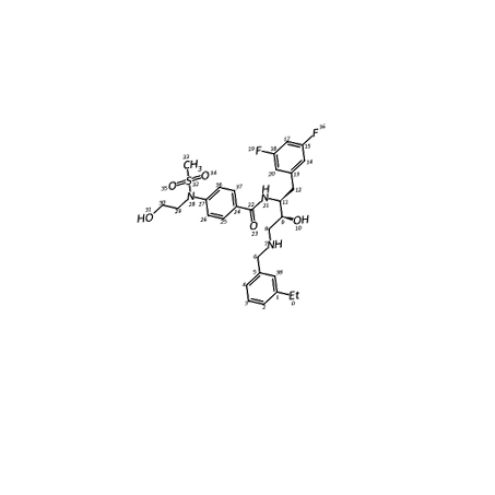 CCc1cccc(CNC[C@H](O)[C@H](Cc2cc(F)cc(F)c2)NC(=O)c2ccc(N(CCO)S(C)(=O)=O)cc2)c1